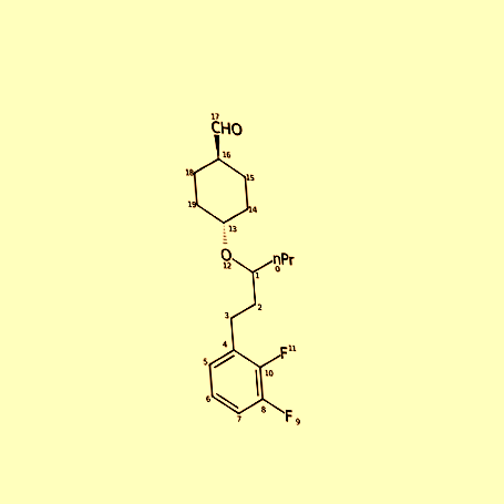 CCCC(CCc1cccc(F)c1F)O[C@H]1CC[C@H](C=O)CC1